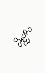 c1ccc(-c2cc3cc(N(c4cccc5ccccc45)c4cc5ccccc5c5ccccc45)ccc3o2)cc1